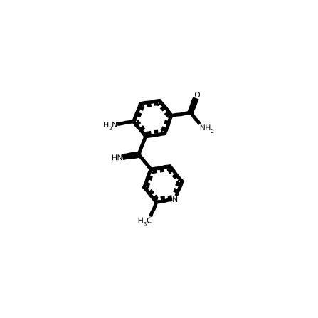 Cc1cc(C(=N)c2cc(C(N)=O)ccc2N)ccn1